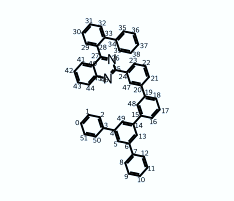 c1ccc(-c2cc(-c3ccccc3)cc(-c3cccc(-c4cccc(-c5nc(-c6ccccc6-c6ccccc6)c6ccccc6n5)c4)c3)c2)cc1